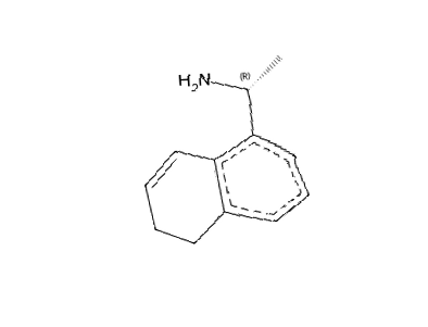 C[C@@H](N)c1cccc2c1C=CCC2